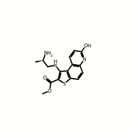 COC(=O)c1sc2ccc3nc(O)ccc3c2c1NC[C@@H](C)N